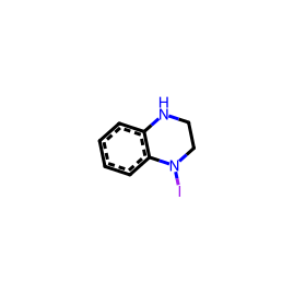 IN1CCNc2ccccc21